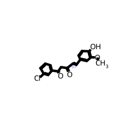 COc1cc(/C=C/C(=O)CC(=O)c2cccc(Cl)c2)ccc1O